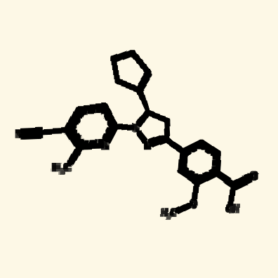 COc1cc(C2=NN(c3ccc(C#N)c(C)n3)[C@@H](C3CCCC3)C2)ccc1C(=O)O